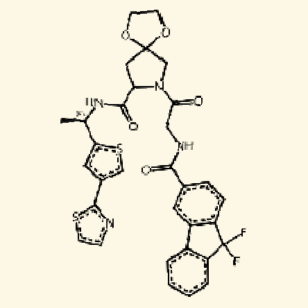 C[C@@H](NC(=O)C1CC2(CN1C(=O)CNC(=O)c1ccc3c(c1)-c1ccccc1C3(F)F)OCCO2)c1cc(-c2nccs2)cs1